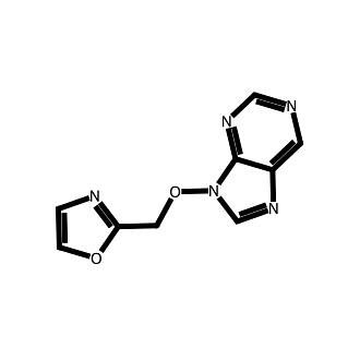 c1coc(COn2cnc3cncnc32)n1